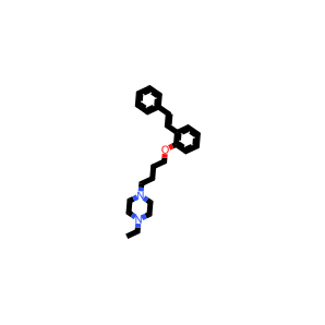 CCN1CCN(CCCCOc2ccccc2C=Cc2ccccc2)CC1